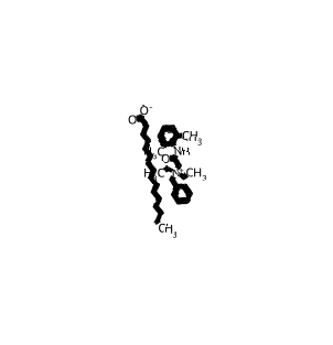 CCCCCCCCCCCCCCCC(=O)[O-].CC[N+](CC)(CC(=O)Nc1c(C)cccc1C)Cc1ccccc1